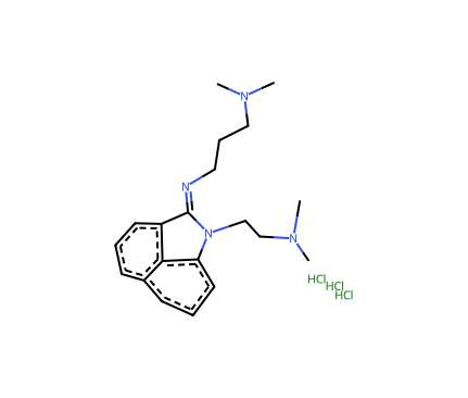 CN(C)CCCN=C1c2cccc3cccc(c23)N1CCN(C)C.Cl.Cl.Cl